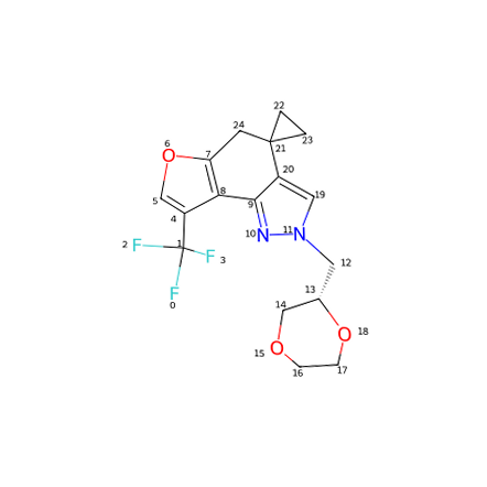 FC(F)(F)c1coc2c1-c1nn(C[C@H]3COCCO3)cc1C1(CC1)C2